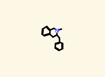 CN1Cc2ccccc2CC1Cc1ccccc1